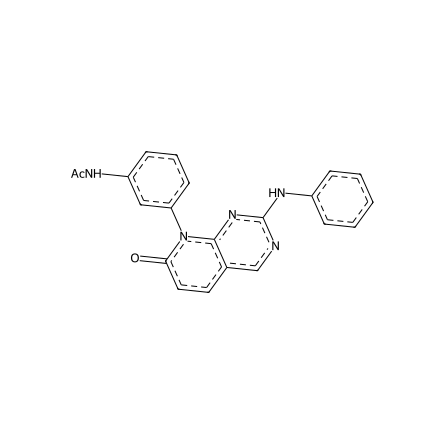 CC(=O)Nc1cccc(-n2c(=O)ccc3cnc(Nc4ccccc4)nc32)c1